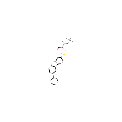 CC(CC(C)(C)C)C(NS(=O)(=O)c1ccc2c(c1)sc1ccc(-c3cccnc3)cc12)C(=O)O